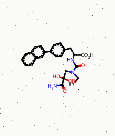 CC(C)CN(CC(O)(O)C(N)=O)C(=O)NC(Cc1ccc(-c2ccc3ccccc3c2)cc1)C(=O)O